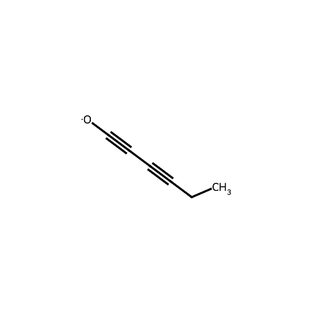 CCC#CC#C[O]